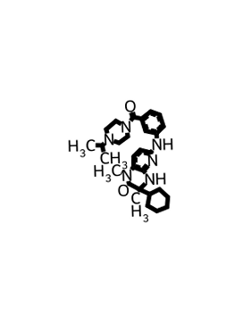 CC(C)N1CCN(C(=O)c2cccc(Nc3ccc4c(n3)N[C@](C)(C3CCCCC3)C(=O)N4C)c2)CC1